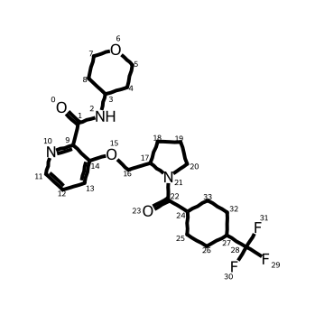 O=C(NC1CCOCC1)c1ncccc1OCC1CCCN1C(=O)C1CCC(C(F)(F)F)CC1